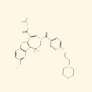 COc1ccc2[nH]c3c(c2n1)C(C)(C)CN(C(=O)c1ccc(OCCN2CCCCC2)cc1)C=C3C(=O)OC(C)C